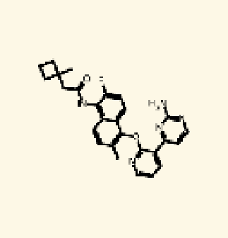 Cc1ccc2c(NC(=O)CC3(C)CCC3)c(F)ccc2c1Oc1ncccc1-c1ccnc(N)n1